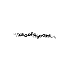 C=CC(=O)OCC(=O)Oc1ccc(-c2ccc(C(=O)OC3COC4C(OC(=O)c5ccc(-c6ccc(OC(=O)COC(=O)C=C)cc6)cc5)COC34)cc2)cc1